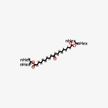 CCCCCCC(CCCCCC)OC(=O)CCCCCCCCC(=O)CCCCCCCCC(=O)OC(CCCCCC)CCCCCC